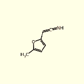 Cc1ccc(C=C=N)o1